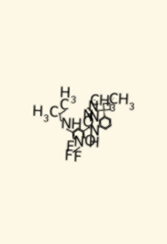 CCC(C)CNCc1cc(C(=O)Nc2cccc([C@]3(c4nncn4C)C[C@@H](C)C3)c2)c(=O)n(CC(F)(F)F)c1